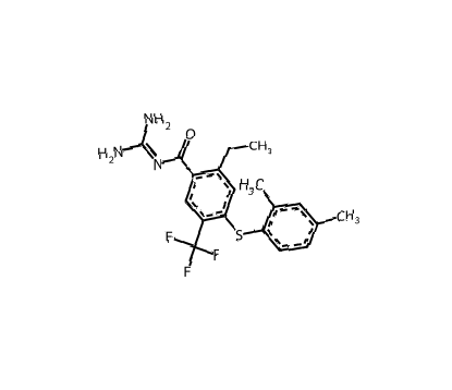 CCc1cc(Sc2ccc(C)cc2C)c(C(F)(F)F)cc1C(=O)N=C(N)N